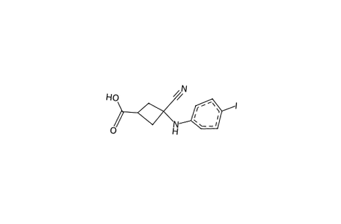 N#CC1(Nc2ccc(I)cc2)CC(C(=O)O)C1